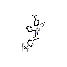 COc1ccc(N/C(=N/OC(=O)c2ccc(C(F)(F)F)cc2)c2ccccc2)c(OC)c1